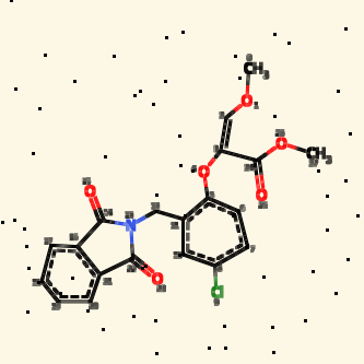 COC=C(Oc1ccc(Cl)cc1CN1C(=O)c2ccccc2C1=O)C(=O)OC